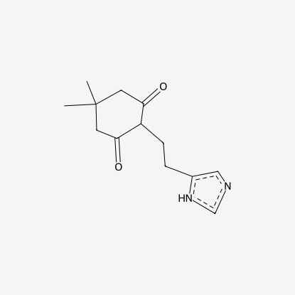 CC1(C)CC(=O)C(CCc2cnc[nH]2)C(=O)C1